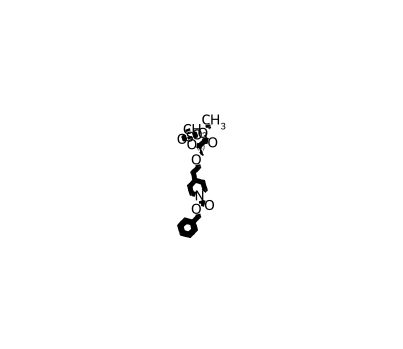 CCOC(=O)[C@@H](COCCC1CCN(C(=O)OCc2ccccc2)CC1)OS(C)(=O)=O